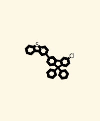 Clc1ccc2c(c1)-c1cc(-c3ccc4sc5ccccc5c4c3)ccc1C2(c1ccccc1)c1ccccc1